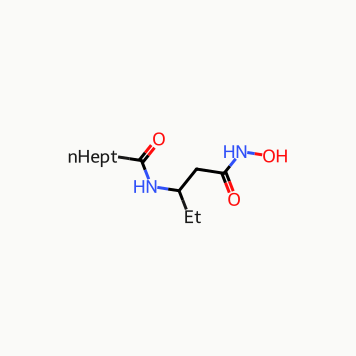 CCCCCCCC(=O)NC(CC)CC(=O)NO